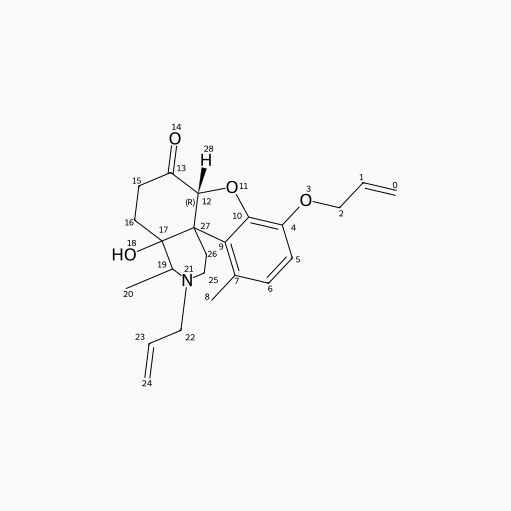 C=CCOc1ccc(C)c2c1O[C@H]1C(=O)CCC3(O)C(C)N(CC=C)CCC213